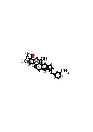 Cc1cccc(Cn2ncc3c2C=C2CC[C@H]4[C@@H]5C[C@@H](C)[C@@]6(OCOC67COCO7)[C@@]5(C)C[C@H](O)[C@]4(F)[C@@]2(C)C3)c1